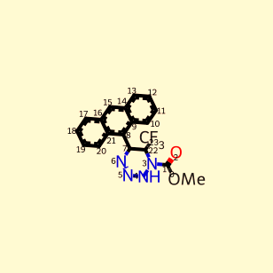 COC(=O)N1NN=NC(c2c3ccccc3cc3ccccc23)C1C(F)(F)F